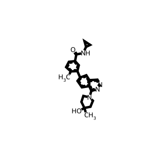 Cc1ccc(C(=O)NC2CC2)cc1-c1ccc2c(N3CCC(C)(O)CC3)nncc2c1